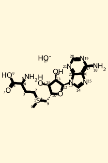 C[S+](CCC(N)C(=O)O)C[C@H]1O[C@H](n2cnc3c(N)ncnc32)[C@H](O)[C@@H]1O.[OH-]